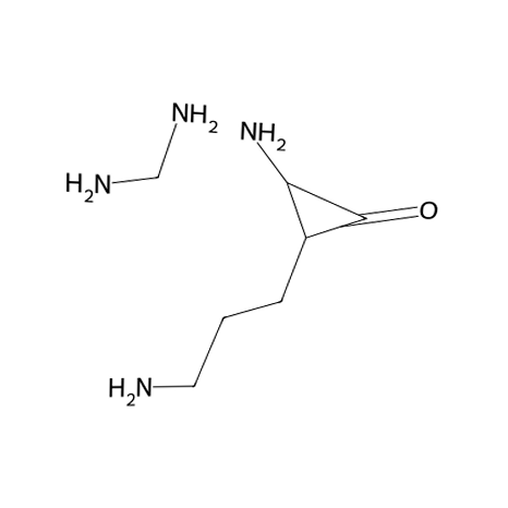 NCCCC1C(=O)C1N.NCN